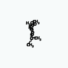 C=C(C)C(=O)OCC(COc1ccc2cc(-c3ccc(CCCCC)cc3CC)sc2c1)C(F)(F)F